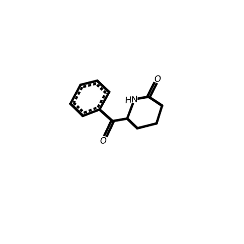 O=C1CCCC(C(=O)c2ccccc2)N1